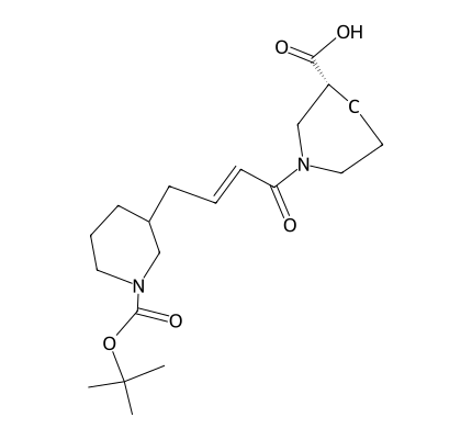 CC(C)(C)OC(=O)N1CCCC(C/C=C/C(=O)N2CCC[C@@H](C(=O)O)C2)C1